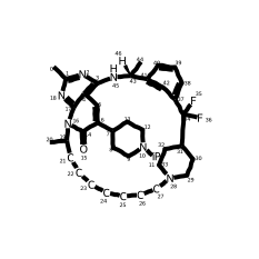 Cc1nc2c3cc(C4CCN(C(C)C)CC4)c(=O)n(c3n1)C(C)CCCCCCCN1CCC(CC1)C(F)(F)c1cccc(c1)[C@@H](C)N2